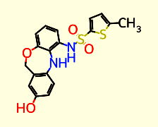 Cc1ccc(S(=O)(=O)Nc2cccc3c2Nc2ccc(O)cc2CO3)s1